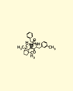 Cc1cccc(CC(NS(=O)(=O)Cc2ccccc2)C(=O)NC2C3(C)CCC(C3)C2(C)C)c1